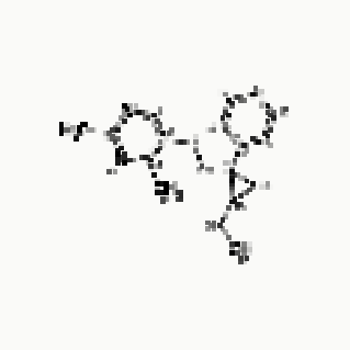 Cc1ncc(CC[C@]2(c3ccccc3)CC2CO)c(C)n1